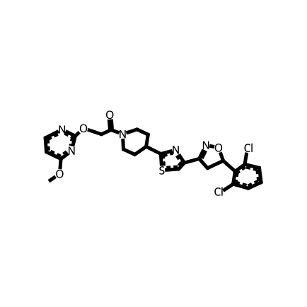 COc1ccnc(OCC(=O)N2CCC(c3nc(C4=NOC(c5c(Cl)cccc5Cl)C4)cs3)CC2)n1